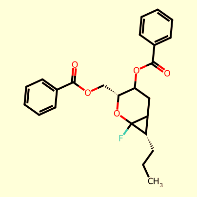 CCC[C@H]1C2CC(OC(=O)c3ccccc3)[C@@H](COC(=O)c3ccccc3)OC21F